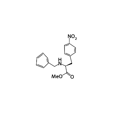 COC(=O)[C@H](Cc1ccc([N+](=O)[O-])cc1)NCc1ccccc1